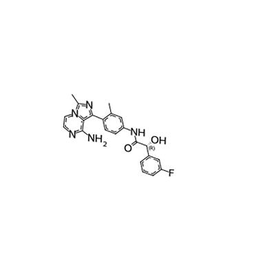 Cc1cc(NC(=O)[C@H](O)c2cccc(F)c2)ccc1-c1nc(C)n2ccnc(N)c12